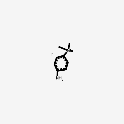 C[N+](C)(C)c1ccc(N)cc1.[I-]